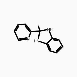 CC1(c2ccccn2)Nc2ccccc2N1